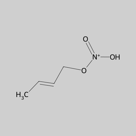 CC=CCO[N+](=O)O